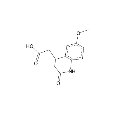 COc1ccc2c(c1)C(CC(=O)O)CC(=O)N2